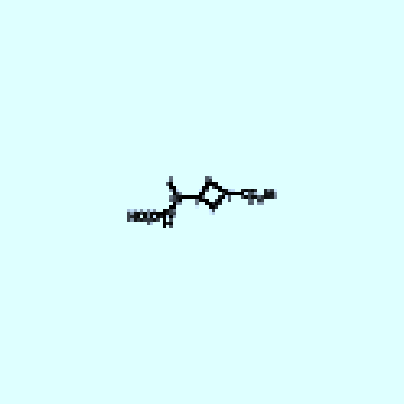 CCOC(=O)C1CC(N(C)NC(=O)O)C1